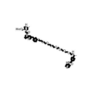 COC[C@H]1CN[C@H](C)CN1CC(=O)N1CC(C)(C)c2ncc(Cc3cccc(OCCOCCOCCOCCOCCOCCOCCOCCN[C@H](C)c4ccc(C(=O)Nc5ccncc5)cc4)c3)cc21